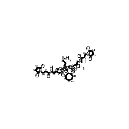 CO[Si]1(CCCNC(=O)CCN2C(=O)C=CC2=O)OC2CCCCC3O[Si](CCCNC(=O)CCN4C(=O)C=CC4=O)(OC)O[Si](CCCN)(OC23)O1